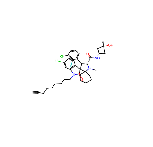 C#CCCCCCCCN1C(=O)[C@@]2(c3ccc(Cl)cc31)C(c1cccc(Cl)c1F)[C@H](C(=O)N[C@H]1C[C@@](C)(O)C1)N(C)C21CCCCC1